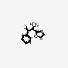 N#CC(C(=O)c1ccccc1)C1=NCCO1